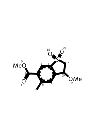 COC(=O)c1cc2c(cc1C)C(OC)CS2(=O)=O